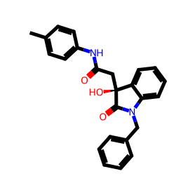 Cc1ccc(NC(=O)C[C@@]2(O)C(=O)N(Cc3ccccc3)c3ccccc32)cc1